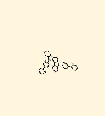 c1ccc(-c2ccc(-n3c4c(c5ccc6c(c7ccccc7n6-c6ccc(-c7ccccn7)cn6)c53)CCCC4)nc2)nc1